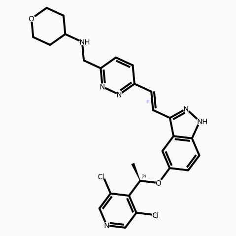 C[C@@H](Oc1ccc2[nH]nc(/C=C/c3ccc(CNC4CCOCC4)nn3)c2c1)c1c(Cl)cncc1Cl